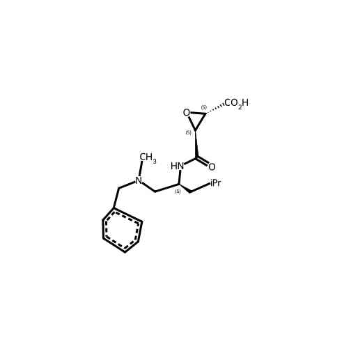 CC(C)C[C@@H](CN(C)Cc1ccccc1)NC(=O)[C@H]1O[C@@H]1C(=O)O